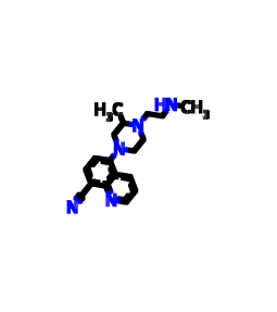 CNCCN1CCN(c2ccc(C#N)c3ncccc23)CC1C